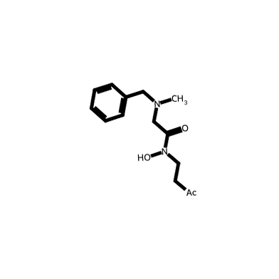 CC(=O)CCN(O)C(=O)CN(C)Cc1ccccc1